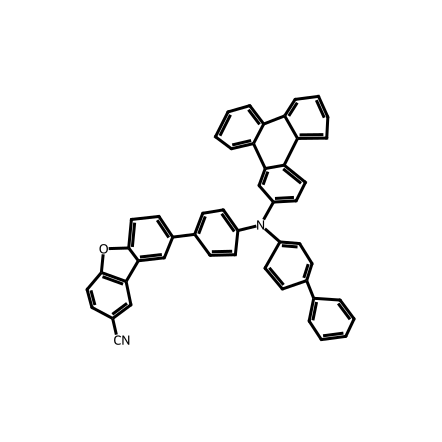 N#Cc1ccc2oc3ccc(-c4ccc(N(c5ccc(-c6ccccc6)cc5)c5ccc6c7ccccc7c7ccccc7c6c5)cc4)cc3c2c1